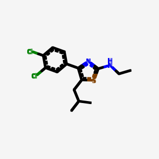 CCNc1nc(-c2ccc(Cl)c(Cl)c2)c(CC(C)C)s1